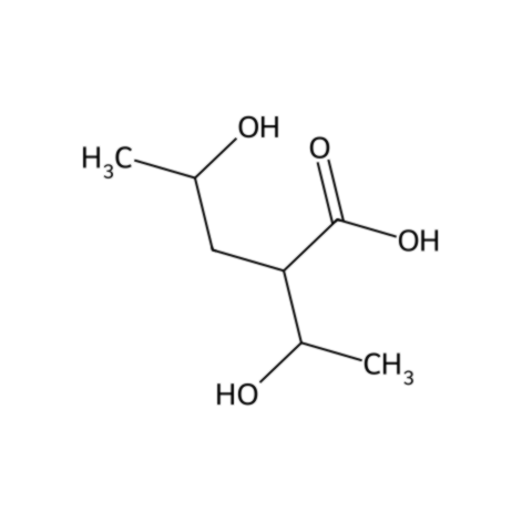 CC(O)CC(C(=O)O)C(C)O